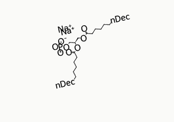 CCCCCCCCCCCCCCCC(=O)OC[C@H](COP(=O)([O-])[O-])OC(=O)CCCCCCCCCCCCCCC.[Na+].[Na+]